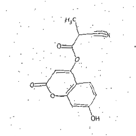 CC(C#N)C(=O)Oc1cc(=O)oc2cc(O)ccc12